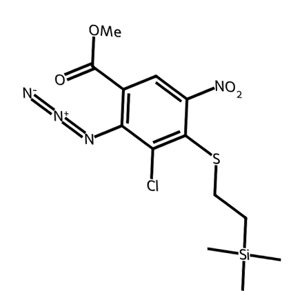 COC(=O)c1cc([N+](=O)[O-])c(SCC[Si](C)(C)C)c(Cl)c1N=[N+]=[N-]